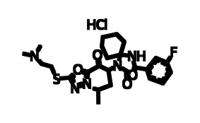 CC(C)CC(C(=O)c1nnc(SCCN(C)C)o1)N(C=O)C1(NC(=O)c2cccc(F)c2)CCCCC1.Cl